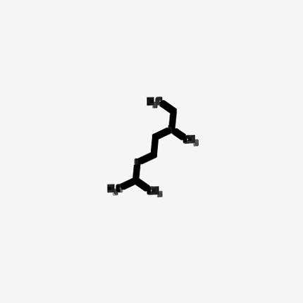 CCN(C)CCSC(C)C